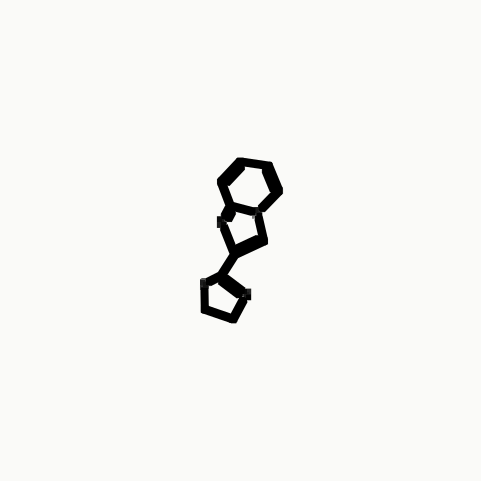 c1ccn2cc(C3=NCCS3)nc2c1